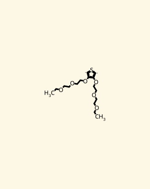 CCOCCOCCOc1[c]s[c]c1OCCOCCOCC